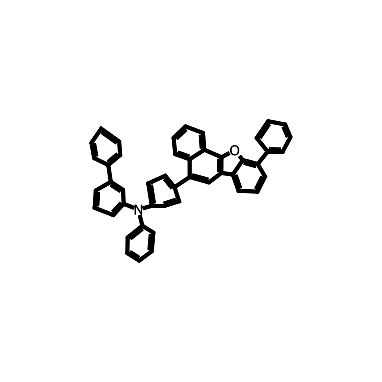 c1ccc(-c2cccc(N(c3ccccc3)c3ccc(-c4cc5c6cccc(-c7ccccc7)c6oc5c5ccccc45)cc3)c2)cc1